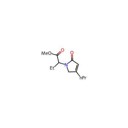 CCCC1=CC(=O)N(C(CC)C(=O)OC)C1